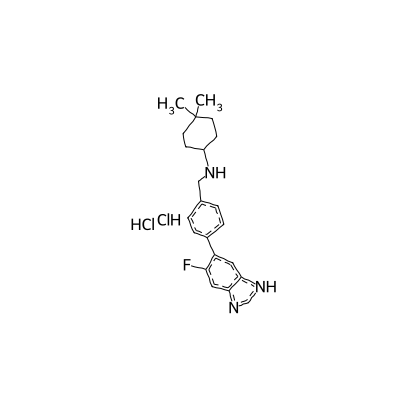 CC1(C)CCC(NCc2ccc(-c3cc4[nH]cnc4cc3F)cc2)CC1.Cl.Cl